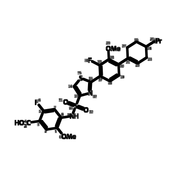 COc1cc(C(=O)O)c(F)cc1NS(=O)(=O)c1csc(-c2ccc(C3=CCC(C(C)C)CC3)c(OC)c2F)n1